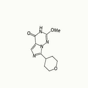 COc1nn2c(C3CCOCC3)ncc2c(=O)[nH]1